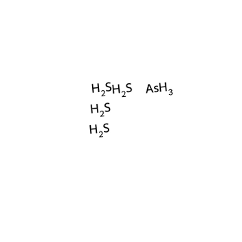 S.S.S.S.[AsH3]